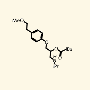 CCC(C)C(=O)OC(CNC(C)C)COc1ccc(CCOC)cc1